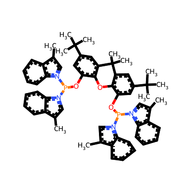 Cc1cn(P(Oc2cc(C(C)(C)C)cc3c2Oc2c(OP(n4cc(C)c5ccccc54)n4cc(C)c5ccccc54)cc(C(C)(C)C)cc2C3(C)C)n2cc(C)c3ccccc32)c2ccccc12